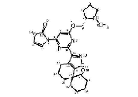 CN1CCC[C@H]1COc1cc(-n2ccsc2=O)nc(-c2noc3c2CCC[C@@]32CCCCC2=O)n1